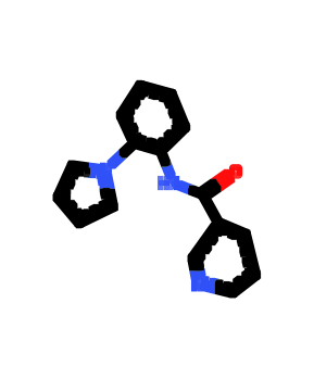 O=C(Nc1ccccc1-n1cccc1)c1cccnc1